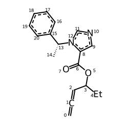 C=C=CC(CC)OC(=O)c1cncn1[C@H](C)c1ccccc1